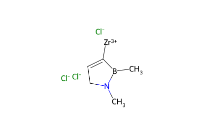 CB1[C]([Zr+3])=CCN1C.[Cl-].[Cl-].[Cl-]